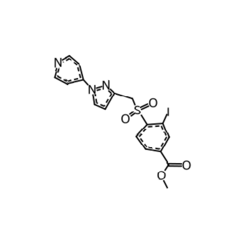 COC(=O)c1ccc(S(=O)(=O)Cc2ccn(-c3ccncc3)n2)c(I)c1